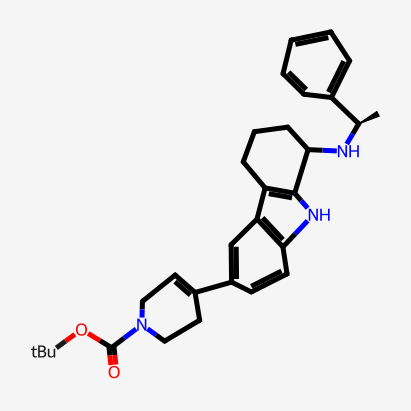 C[C@@H](NC1CCCc2c1[nH]c1ccc(C3=CCN(C(=O)OC(C)(C)C)CC3)cc21)c1ccccc1